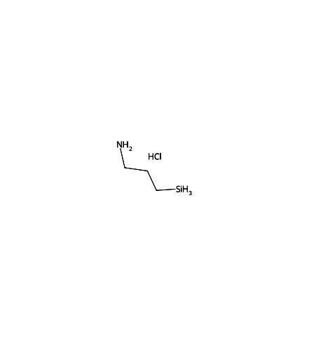 Cl.NCCC[SiH3]